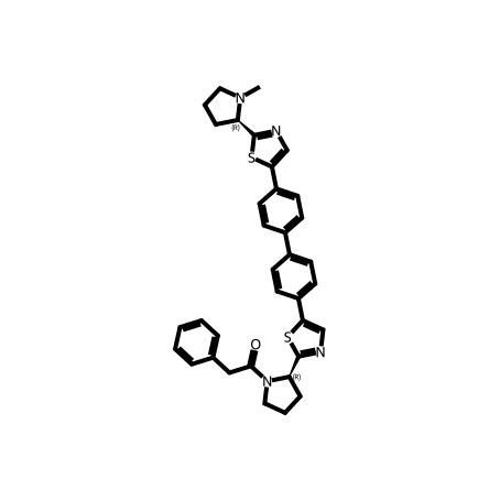 CN1CCC[C@@H]1c1ncc(-c2ccc(-c3ccc(-c4cnc([C@H]5CCCN5C(=O)Cc5ccccc5)s4)cc3)cc2)s1